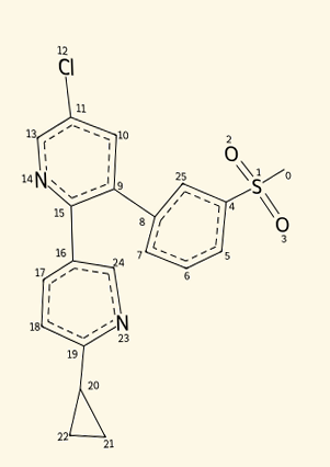 CS(=O)(=O)c1cccc(-c2cc(Cl)cnc2-c2ccc(C3CC3)nc2)c1